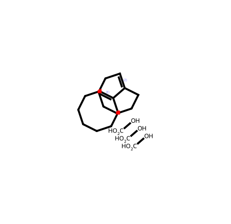 C1=C(\C2=C\CCCCCC2)CCCCCC/1.O=C(O)O.O=C(O)O.O=C(O)O